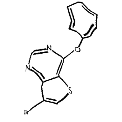 Brc1csc2c(Oc3ccccc3)ncnc12